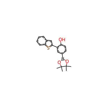 CC1(C)OB(c2ccc(O)c(-c3cc4ccccc4s3)c2)OC1(C)C